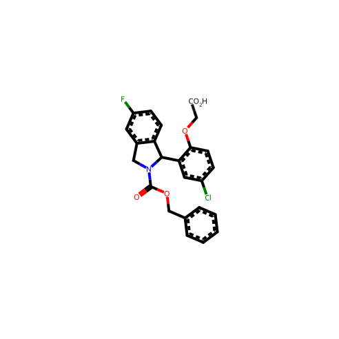 O=C(O)COc1ccc(Cl)cc1C1c2ccc(F)cc2CN1C(=O)OCc1ccccc1